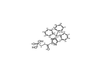 O=C(CCP(=O)(O)O)c1ncn(C(c2ccccc2)(c2ccccc2)c2ccccc2)n1